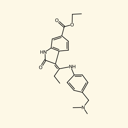 CCOC(=O)c1ccc2c(c1)NC(=O)C2=C(CC)Nc1ccc(CN(C)C)cc1